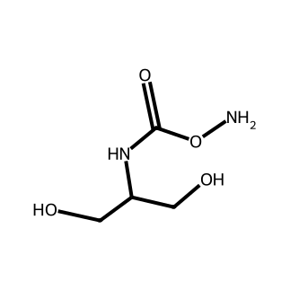 NOC(=O)NC(CO)CO